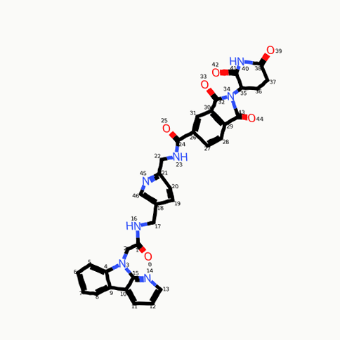 O=C(Cn1c2ccccc2c2cccnc21)NCc1ccc(CNC(=O)c2ccc3c(c2)C(=O)N(C2CCC(=O)NC2=O)C3=O)nc1